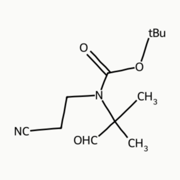 CC(C)(C)OC(=O)N(CCC#N)C(C)(C)C=O